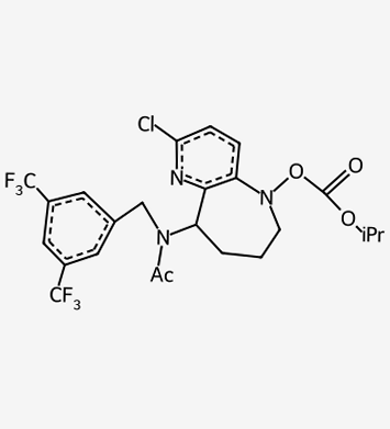 CC(=O)N(Cc1cc(C(F)(F)F)cc(C(F)(F)F)c1)C1CCCN(OC(=O)OC(C)C)c2ccc(Cl)nc21